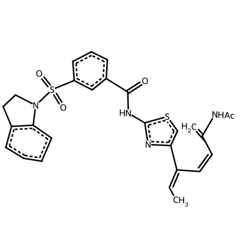 C=C(/C=C\C(=C/C)c1csc(NC(=O)c2cccc(S(=O)(=O)N3CCc4ccccc43)c2)n1)NC(C)=O